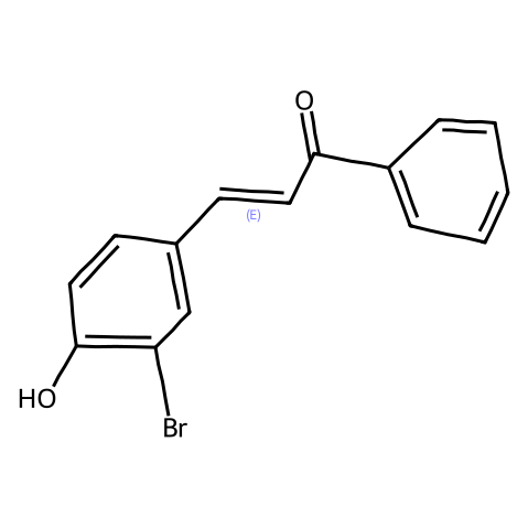 O=C(/C=C/c1ccc(O)c(Br)c1)c1ccccc1